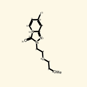 COCCOCCn1nc2cc(I)ccn2c1=O